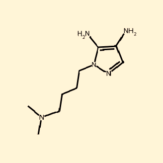 CN(C)CCCCn1ncc(N)c1N